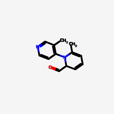 CC1=CC=CC(C=O)N1c1ccncc1C